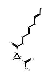 CC=CCC=CCCC(=O)[C@@H]1O[C@H]1C(N)=O